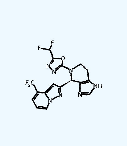 FC(F)c1nnc(N2CCc3[nH]cnc3[C@H]2c2cc3c(C(F)(F)F)cccn3n2)o1